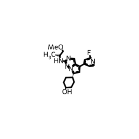 COC[C@H](C)Nc1ncc2c(-c3ccnc(F)c3)cc([C@H]3CC[C@H](O)CC3)n2n1